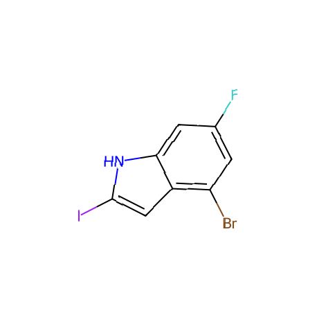 Fc1cc(Br)c2cc(I)[nH]c2c1